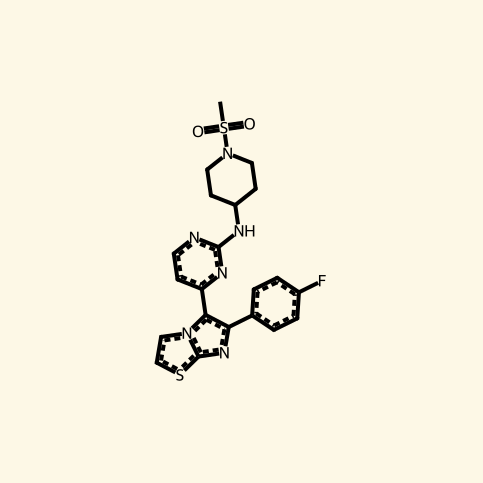 CS(=O)(=O)N1CCC(Nc2nccc(-c3c(-c4ccc(F)cc4)nc4sccn34)n2)CC1